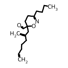 C=CCCCC(=C)CC1(C=O)CCC(CCCC)=NO1